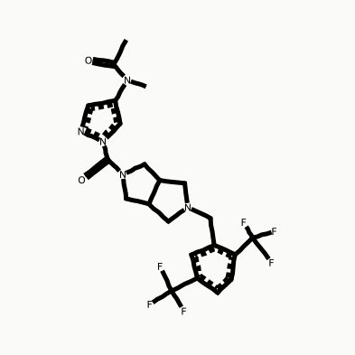 CC(=O)N(C)c1cnn(C(=O)N2CC3CN(Cc4cc(C(F)(F)F)ccc4C(F)(F)F)CC3C2)c1